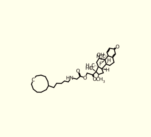 C[C@@H]1C[C@H]2[C@@H]3CCC4=CC(=O)C=C[C@]4(C)[C@@]3(F)[C@@H](O)C[C@]2(C)[C@@]1(O)C(=O)COC(=O)CNCCCCCC1CCCCCCCCCC1